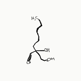 CCCCCC(O)(C=O)CO